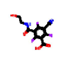 N#Cc1c(I)c(C(=O)O)c(I)c(C(=O)NCCO)c1I